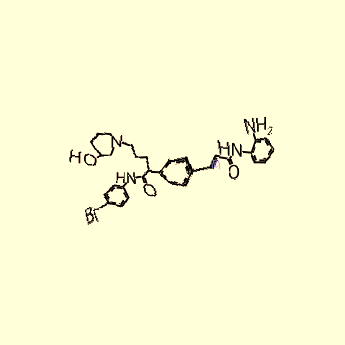 Nc1ccccc1NC(=O)/C=C/c1ccc(C(CCCN2CCCC(O)C2)C(=O)Nc2ccc(Br)cc2)cc1